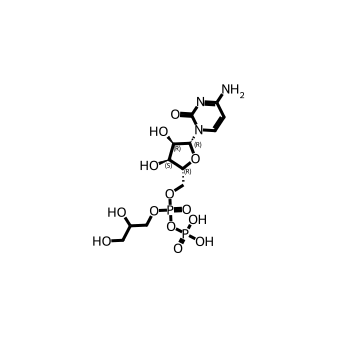 Nc1ccn([C@@H]2O[C@H](COP(=O)(OCC(O)CO)OP(=O)(O)O)[C@@H](O)[C@H]2O)c(=O)n1